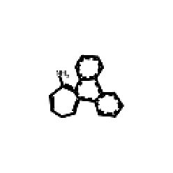 NC1=c2c(c3ccccc3c3ccccc23)=CCC=C1